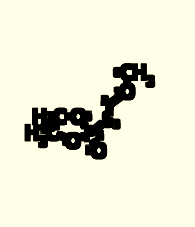 COCSP(=O)(OC)OC